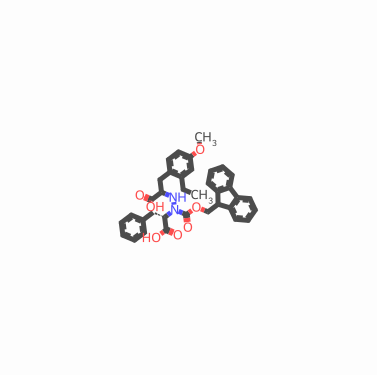 CCc1cc(OC)ccc1CC(NN(C(=O)OCC1c2ccccc2-c2ccccc21)[C@@H](Cc1ccccc1)C(=O)O)C(=O)O